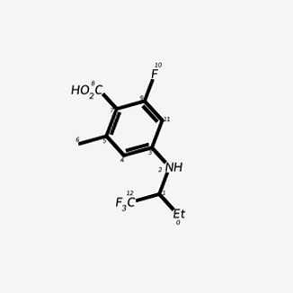 CCC(Nc1cc(C)c(C(=O)O)c(F)c1)C(F)(F)F